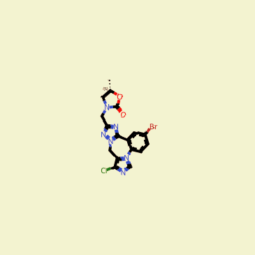 C[C@H]1CN(Cc2nc3n(n2)Cc2c(Cl)ncn2-c2ccc(Br)cc2-3)C(=O)O1